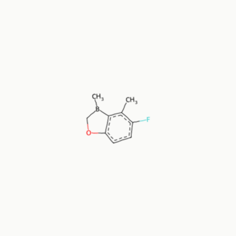 CB1COc2ccc(F)c(C)c21